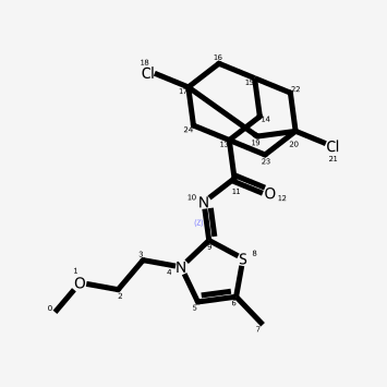 COCCn1cc(C)s/c1=N\C(=O)C12CC3CC(Cl)(CC(Cl)(C3)C1)C2